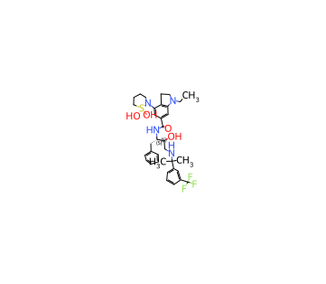 CCN1CCc2c1cc(C(=O)N[C@@H](Cc1ccccc1)[C@@H](O)CNC(C)(C)c1cccc(C(F)(F)F)c1)cc2N1CCCCS1(O)O